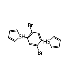 Brc1cc([SH]2C=CC=C2)c(Br)cc1[SH]1C=CC=C1